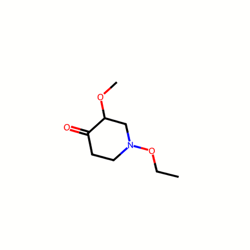 CCON1CCC(=O)C(OC)C1